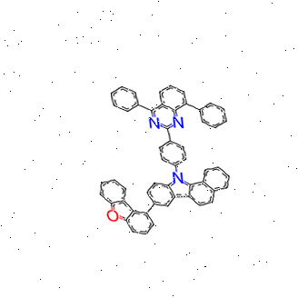 c1ccc(-c2nc(-c3ccc(-n4c5ccc(-c6cccc7oc8ccccc8c67)cc5c5ccc6ccccc6c54)cc3)nc3c(-c4ccccc4)cccc23)cc1